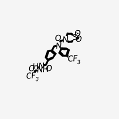 O=C(NNC(=O)C(F)(F)F)c1ccc(CN(C(=O)N2CCS(=O)(=O)CC2)c2ccc(C(F)(F)F)cc2)cc1